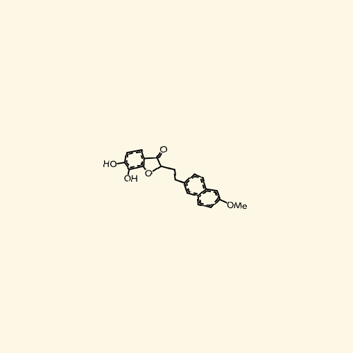 COc1ccc2cc(CCC3Oc4c(ccc(O)c4O)C3=O)ccc2c1